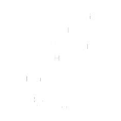 O=P(O)(O)O[SiH]1CCO[SiH2][SiH2]1